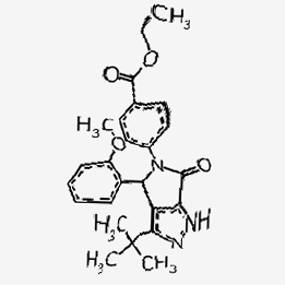 CCOC(=O)c1ccc(N2C(=O)c3[nH]nc(C(C)(C)C)c3C2c2ccccc2OC)cc1